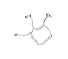 [CH2]Cc1cccc(C#N)c1CC